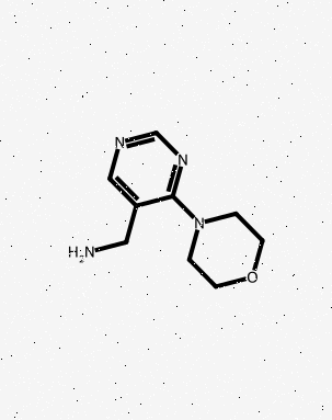 NCc1cncnc1N1CCOCC1